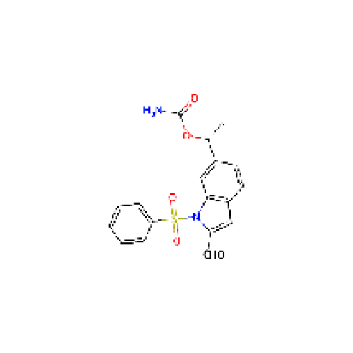 C[C@@H](OC(N)=O)c1ccc2cc(C=O)n(S(=O)(=O)c3ccccc3)c2c1